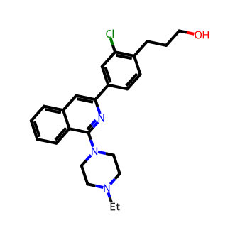 CCN1CCN(c2nc(-c3ccc(CCCO)c(Cl)c3)cc3ccccc23)CC1